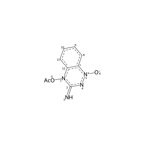 CC(=O)On1c(=N)n[n+]([O-])c2ccccc21